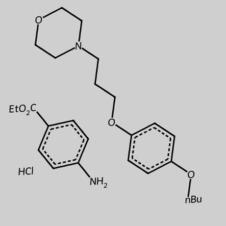 CCCCOc1ccc(OCCCN2CCOCC2)cc1.CCOC(=O)c1ccc(N)cc1.Cl